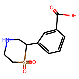 O=C(O)c1cccc(C2CNCCS2(=O)=O)c1